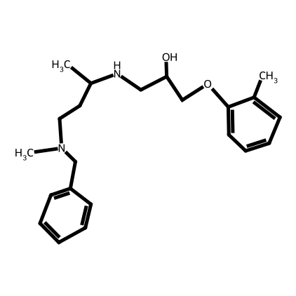 Cc1ccccc1OCC(O)CNC(C)CCN(C)Cc1ccccc1